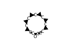 O=C1CCC2CC2CC2CC2CC2CC2CC2CC2CC2CC2CC2CC2CCO1